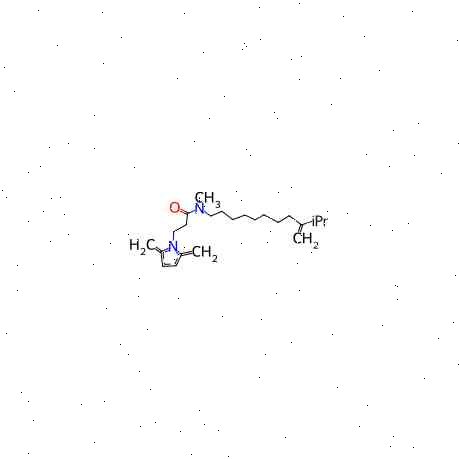 C=C(CCCCCCCCN(C)C(=O)CCn1c(=C)ccc1=C)C(C)C